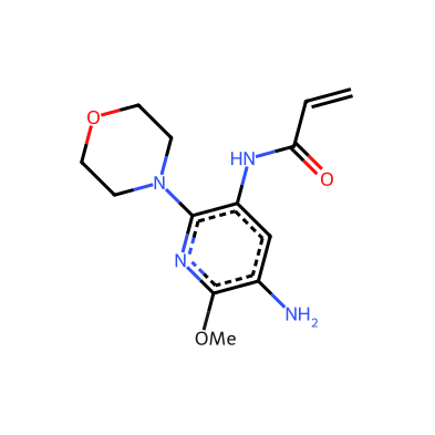 C=CC(=O)Nc1cc(N)c(OC)nc1N1CCOCC1